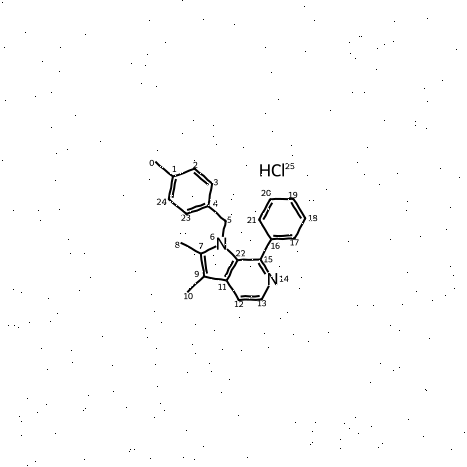 Cc1ccc(Cn2c(C)c(C)c3ccnc(-c4ccccc4)c32)cc1.Cl